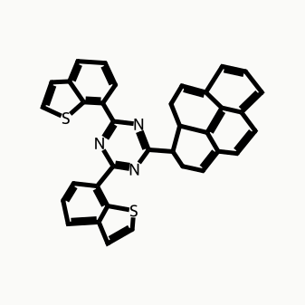 C1=c2ccc3cccc4c3c2C(CC=4)C(c2nc(-c3cccc4ccsc34)nc(-c3cccc4ccsc34)n2)C1